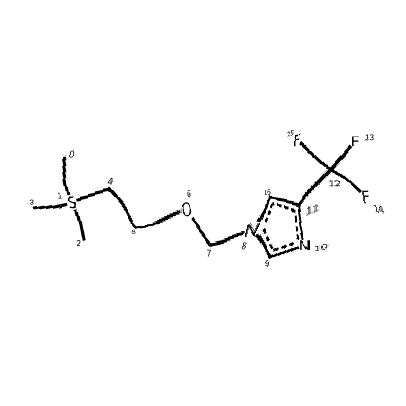 CS(C)(C)CCOCn1cnc(C(F)(F)F)c1